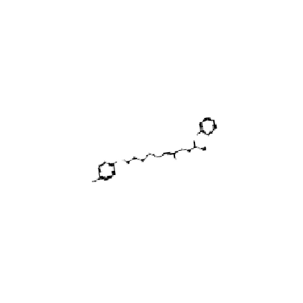 O=CC(CCC(Cl)CCCCCCOc1ccc(Cl)cc1)Oc1ccccc1